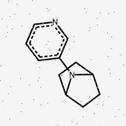 c1cncc(N2C3CCC2CC3)c1